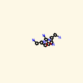 N#Cc1cccc(-c2ccc3c(c2)c2ccccc2n3-c2cc(C#N)cc(-n3c4ccccc4c4cc(-c5cccc(C#N)c5)ccc43)c2-c2cccc(C#N)c2)c1